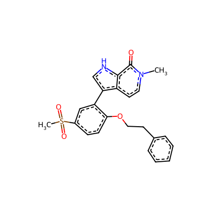 Cn1ccc2c(-c3cc(S(C)(=O)=O)ccc3OCCc3ccccc3)c[nH]c2c1=O